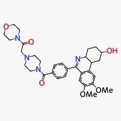 COc1cc2c(cc1OC)C1CC(O)CCC1N=C2c1ccc(C(=O)N2CCN(CC(=O)N3CCOCC3)CC2)cc1